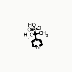 CC(C)(c1ccncc1)S(=O)(=O)O